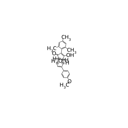 COc1ccc(C2=C[C@@H]3O[C@H]2[C@H]2C(O)=C(c4c(C)cc(C)cc4C)C(=O)[C@H]23)cc1